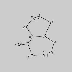 O=C1ONCCC2CC=CCC12